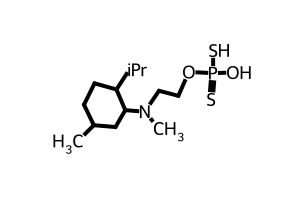 CC1CCC(C(C)C)C(N(C)CCOP(O)(=S)S)C1